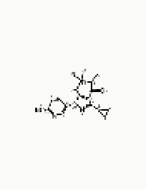 CC1C(=O)c2c(C3CC3)nn(-c3ccc(C#N)cc3)c2CC1(C)C